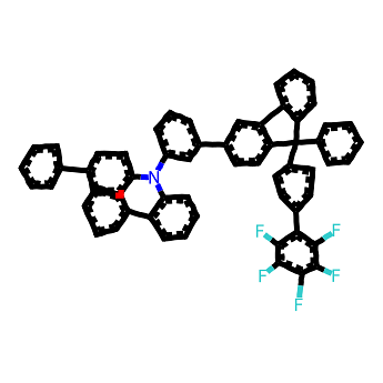 Fc1c(F)c(F)c(-c2ccc(C3(c4ccccc4)c4ccccc4-c4cc(-c5cccc(N(c6ccc(-c7ccccc7)cc6)c6ccccc6-c6ccccc6)c5)ccc43)cc2)c(F)c1F